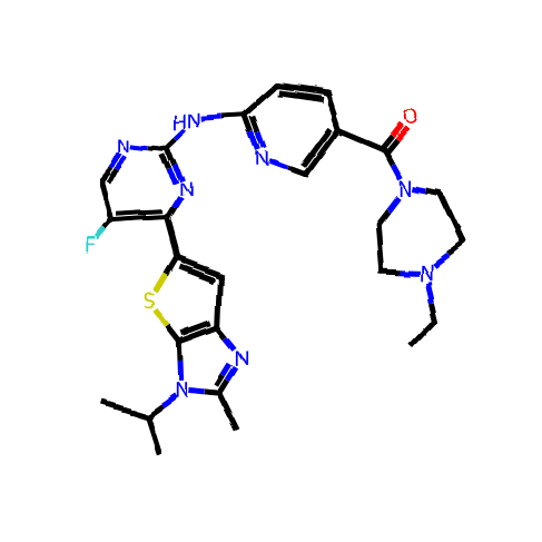 CCN1CCN(C(=O)c2ccc(Nc3ncc(F)c(-c4cc5nc(C)n(C(C)C)c5s4)n3)nc2)CC1